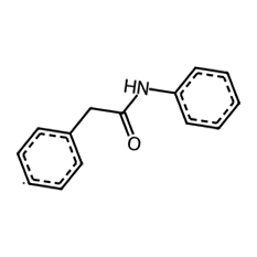 O=C(Cc1cc[c]cc1)Nc1ccccc1